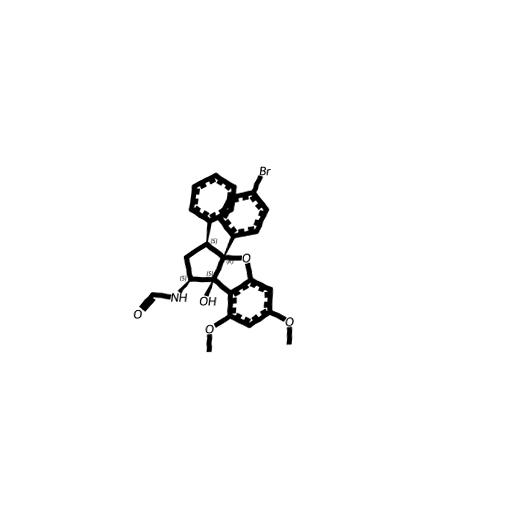 COc1cc(OC)c2c(c1)O[C@@]1(c3ccc(Br)cc3)[C@H](c3ccccc3)C[C@H](NC=O)[C@@]21O